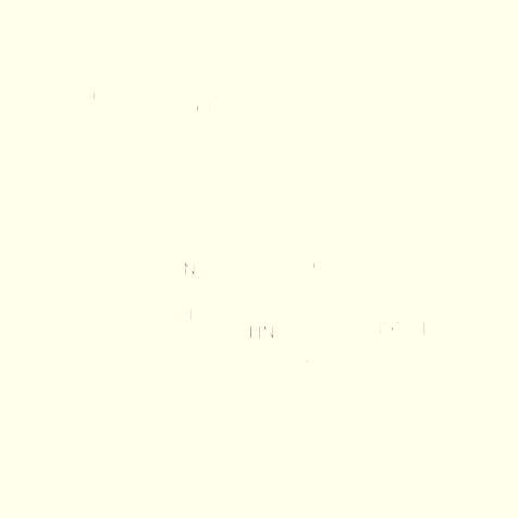 Cn1c(C(=O)NC2(CC(=O)O)CCC2)cc2c(Cl)c(Cl)ccc21